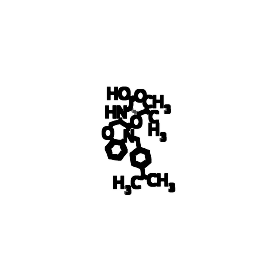 CC(C)C[C@H](N[C@H]1COc2ccccc2N(Cc2ccc(C(C)C)cc2)C1=O)C(=O)O